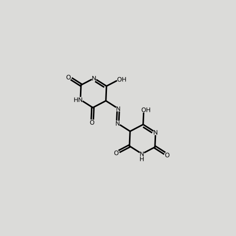 O=C1N=C(O)C(/N=N/C2C(=O)NC(=O)N=C2O)C(=O)N1